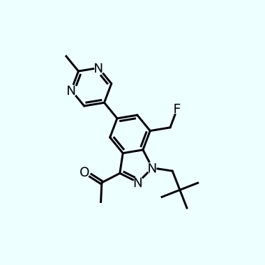 CC(=O)c1nn(CC(C)(C)C)c2c(CF)cc(-c3cnc(C)nc3)cc12